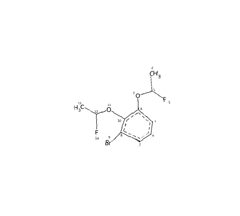 CC(F)Oc1cccc(Br)c1OC(C)F